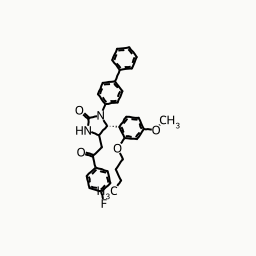 CCCCOc1cc(OC)ccc1[C@@H]1C(CC(=O)c2ccc(F)cc2)NC(=O)N1c1ccc(-c2ccccc2)cc1